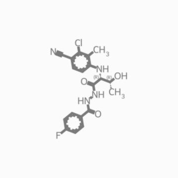 Cc1c(N[C@@H](C(=O)NNC(=O)c2ccc(F)cc2)[C@@H](C)O)ccc(C#N)c1Cl